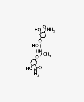 CC(COc1ccc(O)c(C(N)=O)c1)NCC(O)COc1ccc(C(N)=O)c(O)c1